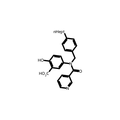 CCCCCCCc1ccc(CN(C(=O)c2cccnc2)c2ccc(O)c(C(=O)O)c2)cc1